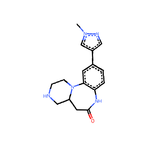 Cn1cc(-c2ccc3c(c2)N2CCNCC2CC(=O)N3)cn1